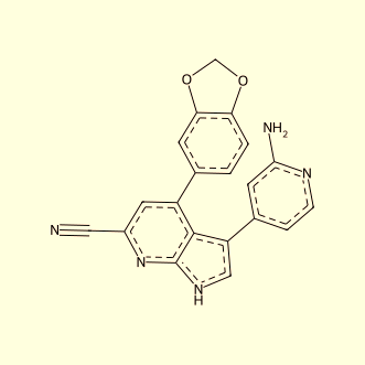 N#Cc1cc(-c2ccc3c(c2)OCO3)c2c(-c3ccnc(N)c3)c[nH]c2n1